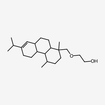 CC(C)C1=CC2CCC3C(C(C)CCC3(C)COCCO)C2CC1